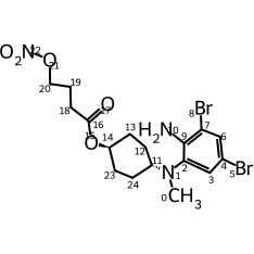 CN(c1cc(Br)cc(Br)c1N)[C@H]1CC[C@H](OC(=O)CCCO[N+](=O)[O-])CC1